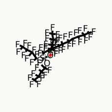 FC(F)(F)C(F)(F)C(F)(F)C(F)(F)O[Si](OC(F)(F)C(F)(F)C(F)(F)C(F)(F)F)(OC(F)(F)C(F)(F)C(F)(F)C(F)(F)F)C(F)(F)C(F)(F)C(F)(F)C(F)(F)C(F)(F)C(F)(F)C(F)(F)C(F)(F)C(F)(F)C(F)(F)F